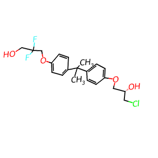 CC(C)(c1ccc(OC[C@H](O)CCl)cc1)c1ccc(OCC(F)(F)CO)cc1